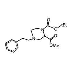 COC(=O)C1CN(CCc2ccccc2)CCN1C(=O)OC(C)(C)C